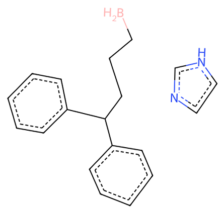 BCCCC(c1ccccc1)c1ccccc1.c1c[nH]cn1